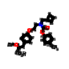 CCOC(Cc1ccc(OCCN(CC2CCC2)C(=O)Oc2ccc(C(F)(F)F)cc2)cc1)C(=O)O